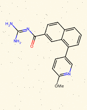 COc1ccc(-c2cccc3ccc(C(=O)N=C(N)N)cc23)cn1